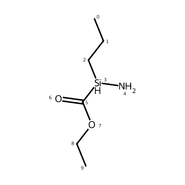 CCC[SiH](N)C(=O)OCC